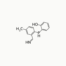 Cc1ccc(Pc2ccccc2O)c(C=N)c1